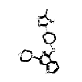 Cc1nnc([C@H]2CC[C@@H](Oc3nc(N4CCOCC4)cc4ncccc34)CC2)[nH]1